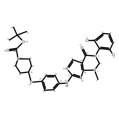 CN1CN(c2c(Cl)cccc2Cl)C(=O)c2cnc(Nc3ccc(OC4CCN(C(=O)OC(C)(C)C)CC4)cc3)nc21